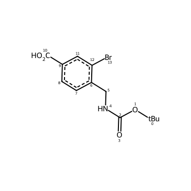 CC(C)(C)OC(=O)NCc1ccc(C(=O)O)cc1Br